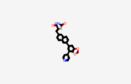 O=C1NC(=O)C(=Cc2ccc3cc(-c4cc5c(c(-c6ccncc6)c4)OCO5)ccc3c2)S1